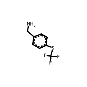 NCc1ccc(SC(F)(F)F)cc1